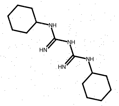 N=C(NC(=N)NC1CCCCC1)NC1CCCCC1